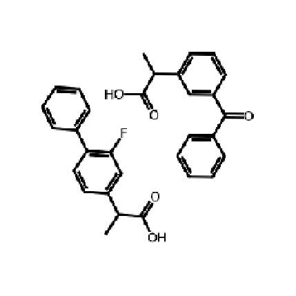 CC(C(=O)O)c1ccc(-c2ccccc2)c(F)c1.CC(C(=O)O)c1cccc(C(=O)c2ccccc2)c1